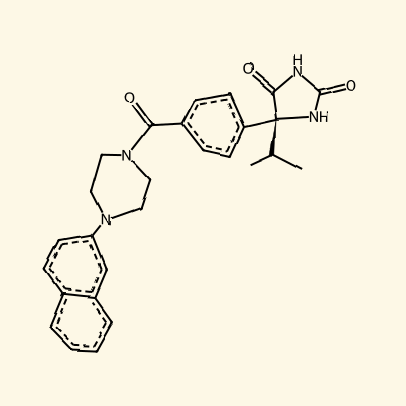 CC(C)[C@]1(c2ccc(C(=O)N3CCN(c4ccc5ccccc5c4)CC3)cc2)NC(=O)NC1=O